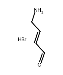 Br.NCC=CC=O